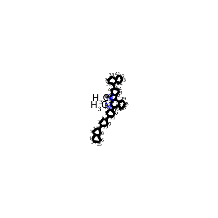 Cn1c2cc(-c3ccc(-c4ccc5ccccc5c4)cc3)ccc2c2c3ccccc3c3c4ccc(-c5cccc6ccccc56)cc4n(C)c3c21